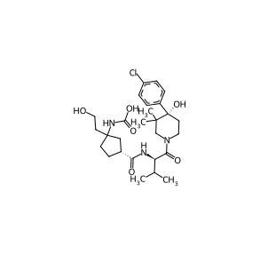 CC(C)[C@@H](NC(=O)[C@@H]1CCC(CCO)(NC(=O)O)C1)C(=O)N1CC[C@](O)(c2ccc(Cl)cc2)C(C)(C)C1